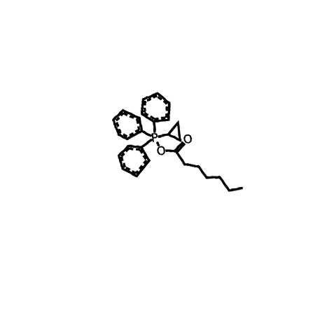 CCCCCCC(=O)OP(c1ccccc1)(c1ccccc1)(c1ccccc1)C1CC1